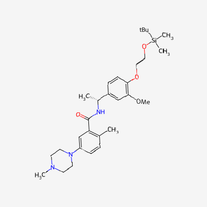 COc1cc([C@@H](C)NC(=O)c2cc(N3CCN(C)CC3)ccc2C)ccc1OCCO[Si](C)(C)C(C)(C)C